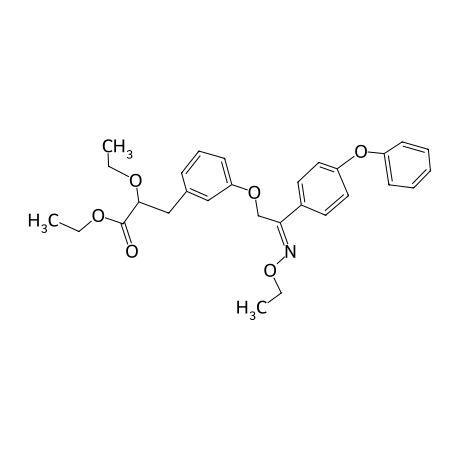 CCO/N=C(\COc1cccc(CC(OCC)C(=O)OCC)c1)c1ccc(Oc2ccccc2)cc1